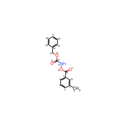 Cc1cccc(C(=O)ONC(=O)OCc2ccccc2)c1